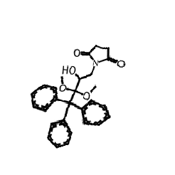 COC(OC)(C(O)CN1C(=O)CCC1=O)C(c1ccccc1)(c1ccccc1)c1ccccc1